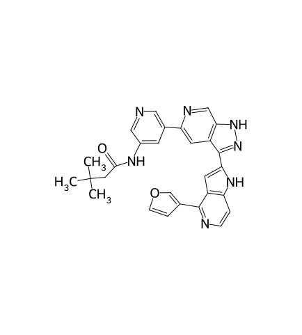 CC(C)(C)CC(=O)Nc1cncc(-c2cc3c(-c4cc5c(-c6ccoc6)nccc5[nH]4)n[nH]c3cn2)c1